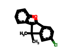 CC1(C)c2cc(Cl)ccc2-c2oc3ccccc3c21